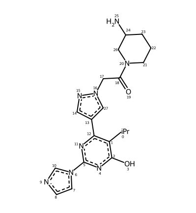 CC(C)c1c(O)nc(-n2ccnc2)nc1-c1cnn(CC(=O)N2CCCC(N)C2)c1